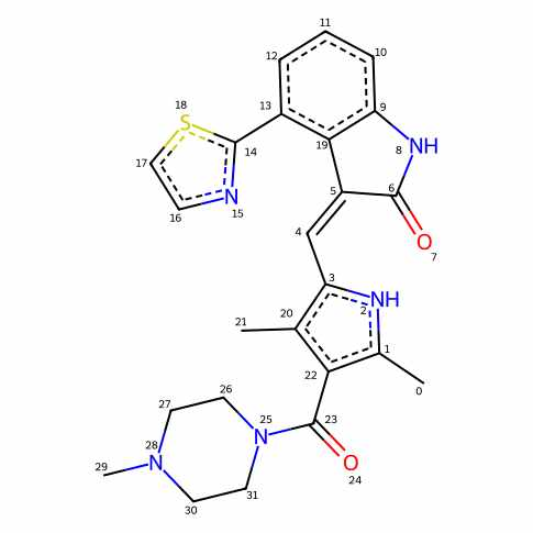 Cc1[nH]c(/C=C2\C(=O)Nc3cccc(-c4nccs4)c32)c(C)c1C(=O)N1CCN(C)CC1